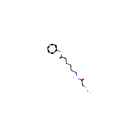 CCSCC(=O)NCCCCCC(=O)Nc1ccccc1